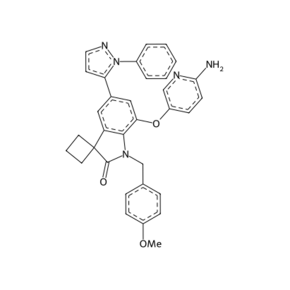 COc1ccc(CN2C(=O)C3(CCC3)c3cc(-c4ccnn4-c4ccccc4)cc(Oc4ccc(N)nc4)c32)cc1